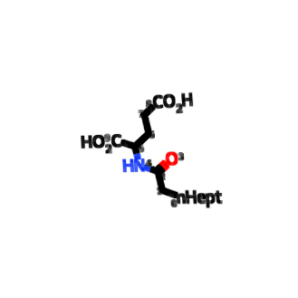 CCCCCCCCC(=O)NC(CCC(=O)O)C(=O)O